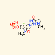 CN1CCCc2c1nc(N1CCC3(CC1)C(=O)N(C)c1cc(OCP(=O)(O)O)cc(F)c13)[nH]c2=O